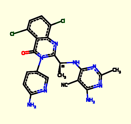 Cc1nc(N)c(C#N)c(N[C@@H](C)c2nc3c(Cl)ccc(Cl)c3c(=O)n2-c2ccc(N)nc2)n1